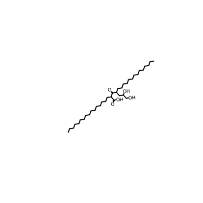 CCCCCCCCCCCCCCCCC(C(=O)O)C(=O)C(CCCCCCCCCCCCCC)CC(O)CO